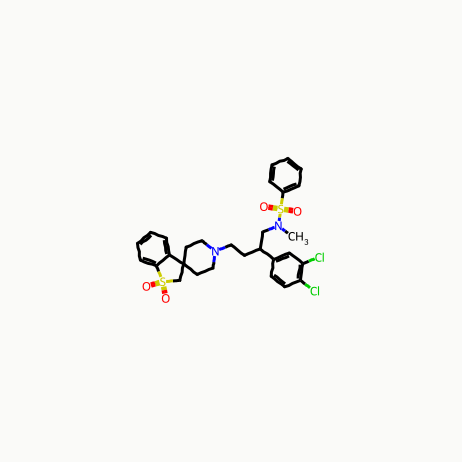 CN(CC(CCN1CCC2(CC1)CS(=O)(=O)c1ccccc12)c1ccc(Cl)c(Cl)c1)S(=O)(=O)c1ccccc1